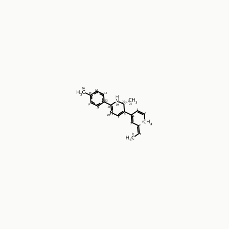 C\C=C/C=C(\C=C/C)C1=CN=C(c2ccc(C)cc2)N[C@@H]1C